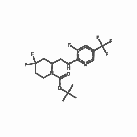 CC(C)(C)OC(=O)N1CCC(F)(F)CC1CNc1ncc(C(F)(F)F)cc1F